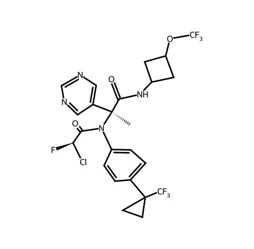 C[C@@](C(=O)NC1CC(OC(F)(F)F)C1)(c1cncnc1)N(C(=O)[C@H](F)Cl)c1ccc(C2(C(F)(F)F)CC2)cc1